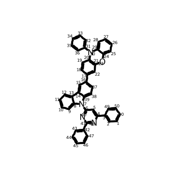 c1ccc(-c2cc(-n3c4ccccc4c4cc(-c5ccc6c(c5)Oc5ccccc5N6c5ccccc5)ccc43)nc(-c3ccccc3)n2)cc1